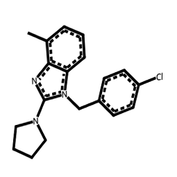 Cc1cccc2c1nc(N1CCCC1)n2Cc1ccc(Cl)cc1